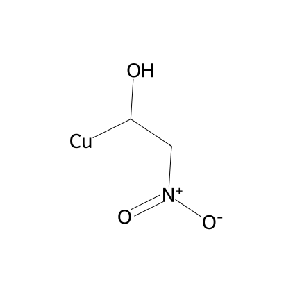 O=[N+]([O-])C[CH](O)[Cu]